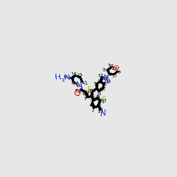 N#Cc1ccc(-c2cc(C(=O)N3CCCC(N)C3)sc2-c2ccc3nn(C4CCOCC4)cc3c2)cc1F